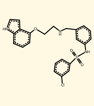 O=S(=O)(Nc1cccc(CNCCOc2cccc3[nH]ccc23)c1)c1cccc(Cl)c1